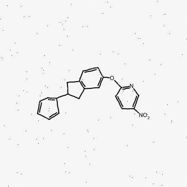 O=[N+]([O-])c1ccc(Oc2ccc3c(c2)CC(c2ccccc2)C3)nc1